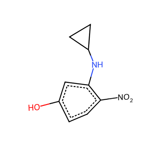 O=[N+]([O-])c1ccc(O)cc1NC1CC1